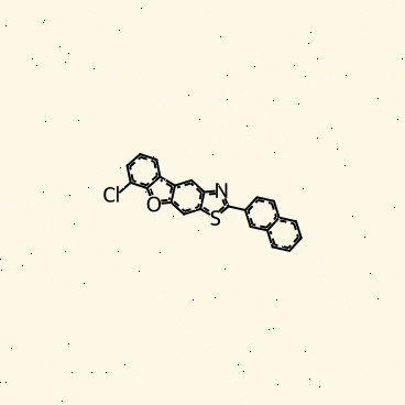 Clc1cccc2c1oc1cc3sc(-c4ccc5ccccc5c4)nc3cc12